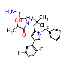 C[C@H](O)C(=O)N(CCCN)[C@@H](c1cc(-c2cc(F)ccc2F)cn1Cc1ccccc1)C(C)(C)C